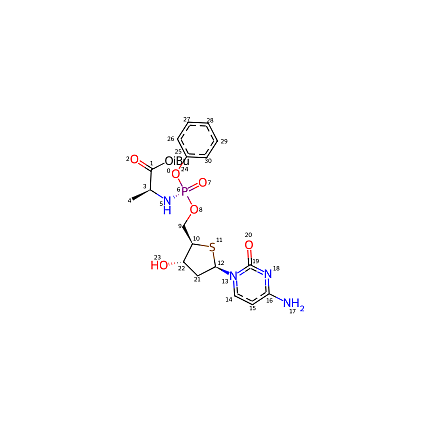 CC(C)COC(=O)[C@H](C)N[P@](=O)(OC[C@H]1S[C@@H](n2ccc(N)nc2=O)C[C@@H]1O)Oc1ccccc1